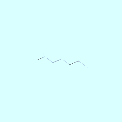 CC(=O)NCSCCS